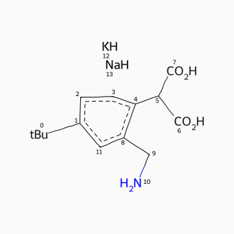 CC(C)(C)c1ccc(C(C(=O)O)C(=O)O)c(CN)c1.[KH].[NaH]